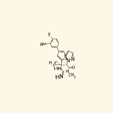 CN1C(=N)N[C@](C)(c2cc(-c3ccc(F)c(C#N)c3)cs2)C(n2cccn2)C1=O